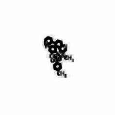 Cc1ccc(S(=O)(=O)O[N+]2(c3ccc(F)cc3Cl)C(=O)N(C)c3cnc4ccc(-c5cccnc5)cc4c32)cc1